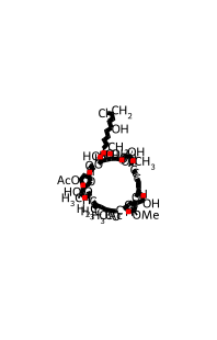 C=C(Cl)/C=C/C(O)CCCC(=C)C[C@H]1O[C@@H]2[C@H](C)[C@@H](OC(=O)C[C@H]3C[C@H](OC(C)=O)C[C@@]4(C[C@@](C)(O)C[C@H](CC(=C)[C@@H](C)[C@H](OC(C)=O)[C@H](C)C(=O)C[C@@H]5C[C@H](OC)CC6(C[C@@H](O)C[C@@H](/C=C\CCC[C@H]7O[C@](O)(C[C@H](O)[C@H]7C)[C@H]2O)O6)O5)O4)O3)[C@@H]1O